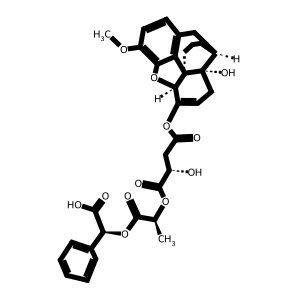 COc1ccc2c3c1O[C@@H]1C(OC(=O)C[C@H](O)C(=O)O[C@@H](C)C(=O)O[C@H](C(=O)O)c4ccccc4)=CC[C@]4(O)[C@@H](CCC[C@@]314)C2